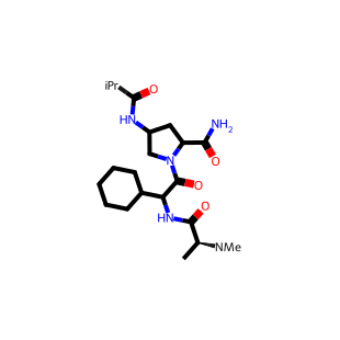 CN[C@@H](C)C(=O)NC(C(=O)N1CC(NC(=O)C(C)C)CC1C(N)=O)C1CCCCC1